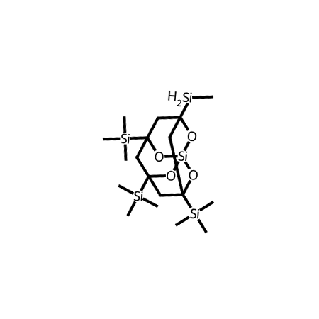 C[SiH2]C12CC3([Si](C)(C)C)CC4([Si](C)(C)C)CC([Si](C)(C)C)(C1)O[Si](O2)(O3)O4